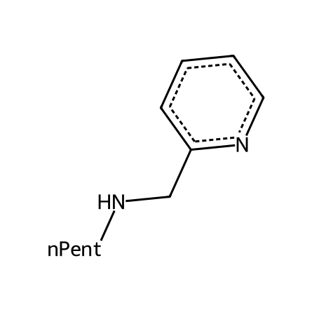 CCCCCNCc1ccccn1